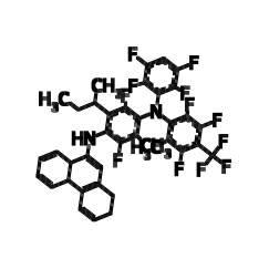 CCC(C)c1c(F)c(N(c2c(C)c(F)c(C(F)(F)F)c(F)c2F)c2c(F)c(F)cc(F)c2F)c(C)c(F)c1NC1=CC2=C(C=CCC2)C2C=CC=CC12